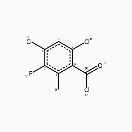 Cc1c(F)c(Cl)cc(Cl)c1C(=O)Cl